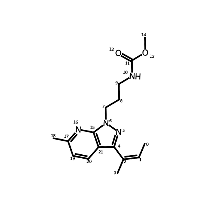 C/C=C(/C)c1nn(CCCNC(=O)OC)c2nc(C)ccc12